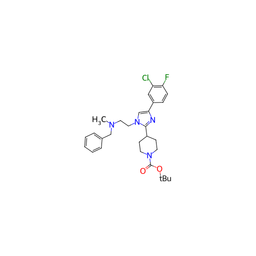 CN(CCn1cc(-c2ccc(F)c(Cl)c2)nc1C1CCN(C(=O)OC(C)(C)C)CC1)Cc1ccccc1